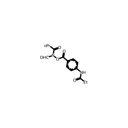 CCCC(=O)N(C=O)OC(=O)c1ccc(NC(=O)CC)cc1